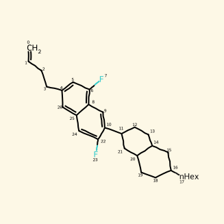 C=CCCc1cc(F)c2cc(C3CCC4CC(CCCCCC)CCC4C3)c(F)cc2c1